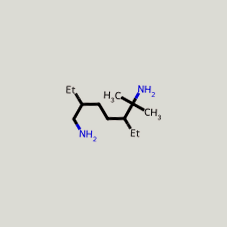 CCC(CN)CCC(CC)C(C)(C)N